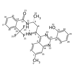 Cc1ccc2c(C(=N)C[C@@H](C)NC(=O)c3ccccc3C(F)(F)F)nc(-c3ccccc3O)nc2c1